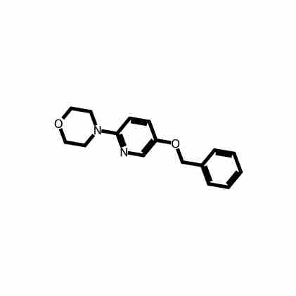 c1ccc(COc2ccc(N3CCOCC3)nc2)cc1